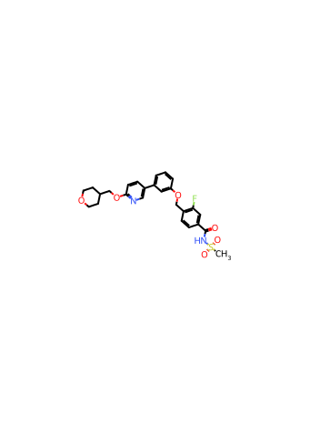 CS(=O)(=O)NC(=O)c1ccc(COc2cccc(-c3ccc(OCC4CCOCC4)nc3)c2)c(F)c1